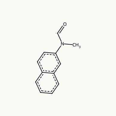 CN([C]=O)c1ccc2ccccc2c1